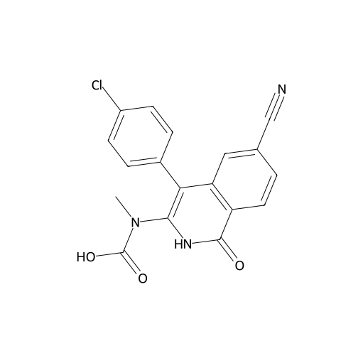 CN(C(=O)O)c1[nH]c(=O)c2ccc(C#N)cc2c1-c1ccc(Cl)cc1